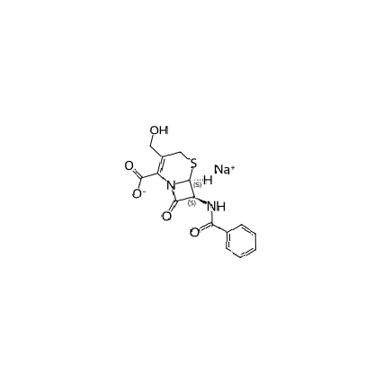 O=C([O-])C1=C(CO)CS[C@H]2[C@@H](NC(=O)c3ccccc3)C(=O)N12.[Na+]